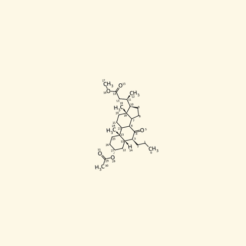 CCC[C@@H]1C(=O)C2C3CC[C@H]([C@H](C)CC(=O)OC)[C@@]3(C)CCC2[C@@]2(C)CC[C@@H](OC(C)=O)C[C@@H]12